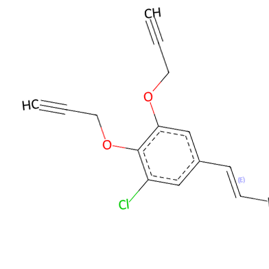 C#CCOc1cc(/C=C/CC)cc(Cl)c1OCC#C